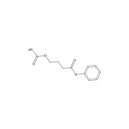 CCCC(=O)OCCCC(=O)Oc1ccccc1